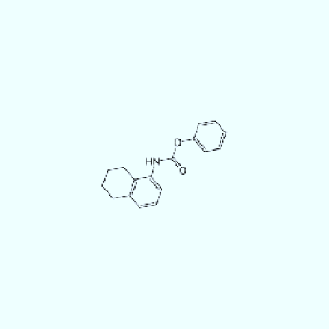 O=C(Nc1cccc2c1CCCC2)Oc1ccccc1